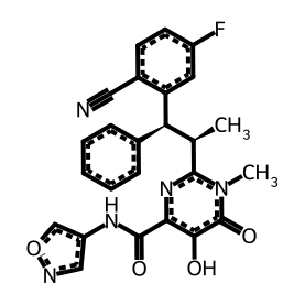 C[C@@H](c1nc(C(=O)Nc2cnoc2)c(O)c(=O)n1C)[C@@H](c1ccccc1)c1cc(F)ccc1C#N